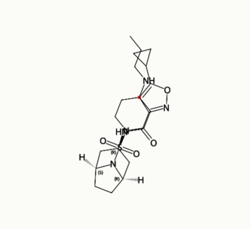 CCCNC1CCN(S(=O)(=O)N2[C@@H]3CC[C@H]2C[C@@H](NC(=O)c2cc(C4CC4)on2)C3)CC1